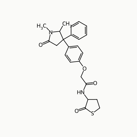 CC1N(C)C(=O)CC1(c1ccccc1)c1ccc(OCC(=O)NC2CCSC2=O)cc1